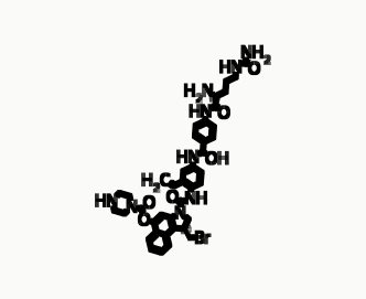 C=Cc1cc(NC(O)c2ccc(NC(=O)[C@@H](N)CCCNC(N)=O)cc2)ccc1NC(=O)N1C[C@@H](CBr)c2c1cc(OC(=O)N1CCNCC1)c1ccccc21